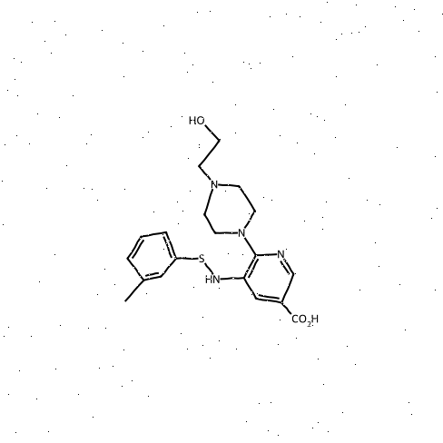 Cc1cccc(SNc2cc(C(=O)O)cnc2N2CCN(CCO)CC2)c1